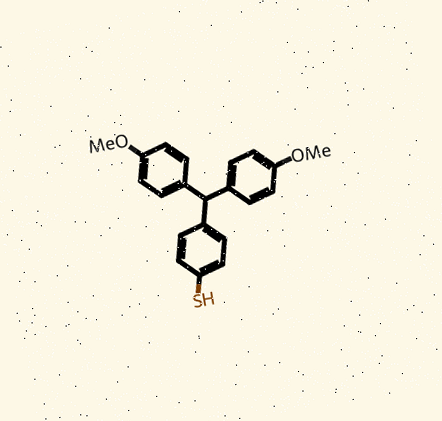 COc1ccc([C](c2ccc(S)cc2)c2ccc(OC)cc2)cc1